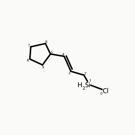 Cl[SiH2]CC=CC1CCCC1